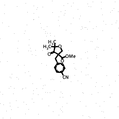 COC(=O)C1(Cc2ccc(C#N)cc2)COC(C)(C)C1=O